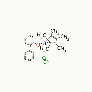 CC1=C(C)[C](C)([Ti+2][O]c2ccccc2-c2ccccc2)C(C)=C1C.[Cl-].[Cl-]